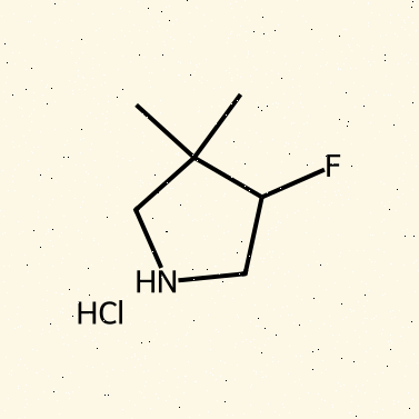 CC1(C)CNCC1F.Cl